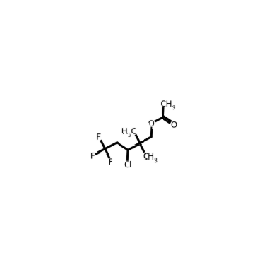 CC(=O)OCC(C)(C)C(Cl)CC(F)(F)F